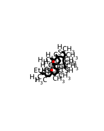 C/C=C(\C)C(C)(CC(C)C(C)(S)C(C)CC(C)C(C)C(C)(S)CC(C)/C(C)=C(\C)CC)CC(C)(CC(C)(C)C(C)(S)CC)C(C)C(C)S